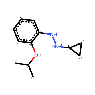 CC(C)Oc1ccccc1NNC1CC1